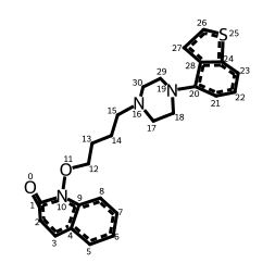 O=c1ccc2ccccc2n1OCCCCN1CCN(c2cccc3sccc23)CC1